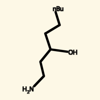 CCCCCCC(O)CCN